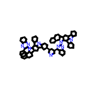 c1ccc(-c2nc3ccccc3nc2-n2c3c4ccccc4ccc3c3cc4c5cc(-c6cncc(-c7nc(-n8c9c%10ccccc%10ccc9c9cc%10c%11ccccc%11n%11c%12ccccc%12c(c98)c%10%11)nc8ccccc78)c6)ccc5n5c6ccccc6c(c32)c45)cc1